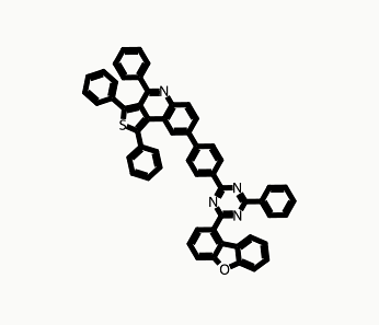 c1ccc(-c2nc(-c3ccc(-c4ccc5nc(-c6ccccc6)c6c(-c7ccccc7)sc(-c7ccccc7)c6c5c4)cc3)nc(-c3cccc4oc5ccccc5c34)n2)cc1